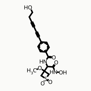 COC1(C(NC(=O)c2ccc(C#CC#CCCO)cc2)C(=O)NO)CS(=O)(=O)C1